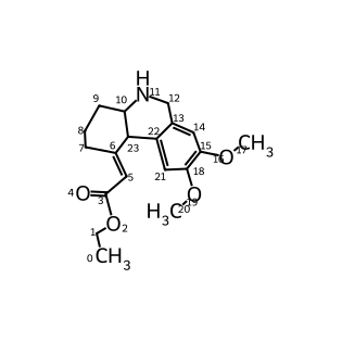 CCOC(=O)C=C1CCCC2NCc3cc(OC)c(OC)cc3C12